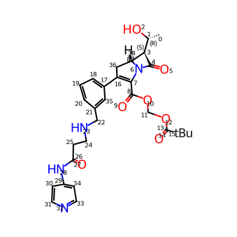 C[C@@H](O)[C@H]1C(=O)N2C(C(=O)OCOC(=O)C(C)(C)C)=C(c3cccc(CNCCC(=O)Nc4ccncc4)c3)C[C@H]12